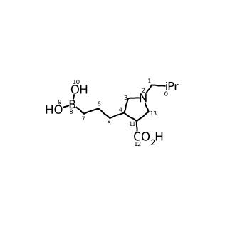 CC(C)CN1CC(CCCB(O)O)C(C(=O)O)C1